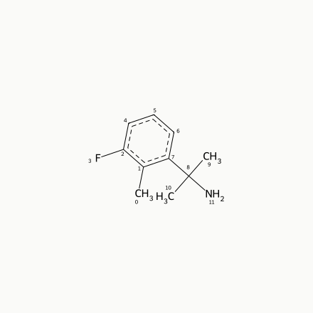 Cc1c(F)cccc1C(C)(C)N